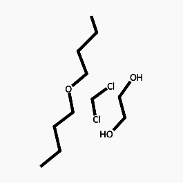 CCCCOCCCC.ClCCl.OCCO